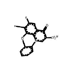 O=C(O)c1cn2c3c(c(F)c(F)cc3c1=O)Oc1ccccc1-2